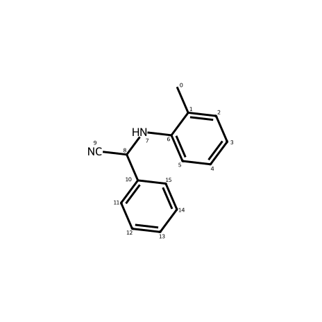 Cc1ccccc1NC(C#N)c1ccccc1